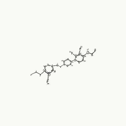 CCCc1ccc(OCc2ccc(-c3ccc(OCC)c(F)c3F)cc2)cc1F